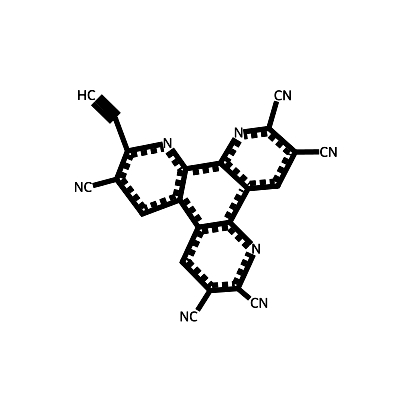 C#Cc1nc2c(cc1C#N)c1cc(C#N)c(C#N)nc1c1cc(C#N)c(C#N)nc12